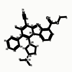 CCOC(=O)c1cccc2c1nc1c(C#N)c(C)c(-c3ccccc3)c(N3CC[C@H](N(C)C)C3)n12